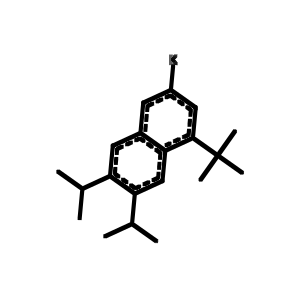 CC(C)c1cc2c[c]([K])cc(C(C)(C)C)c2cc1C(C)C